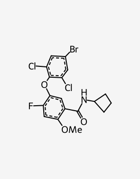 COc1cc(F)c(Oc2c(Cl)cc(Br)cc2Cl)cc1C(=O)NC1CCC1